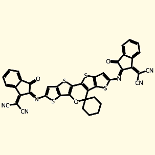 N#CC(C#N)=C1/C(=N/c2cc3sc4c(c3s2)OC2(CCCCC2)c2c-4sc3cc(/N=C4\C(=O)c5ccccc5C4=C(C#N)C#N)sc23)C(=O)c2ccccc21